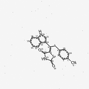 N#Cc1ccc(CC(=C2SC(=O)NC2=O)c2c[nH]c3ccccc23)cc1